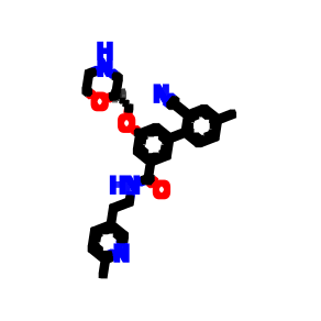 Cc1ccc(-c2cc(OC[C@H]3CNCCO3)cc(C(=O)NCCc3ccc(C)nc3)c2)c(C#N)c1